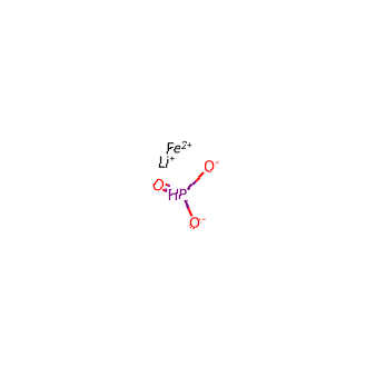 O=[PH]([O-])[O-].[Fe+2].[Li+]